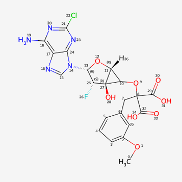 COc1cccc(CC(OC2[C@H]3O[C@@H](n4cnc5c(N)nc(Cl)nc54)[C@@H](F)[C@@]23O)(C(=O)O)C(=O)O)c1